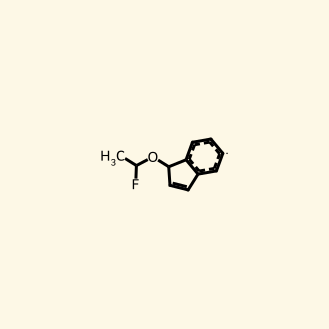 CC(F)OC1C=Cc2c[c]ccc21